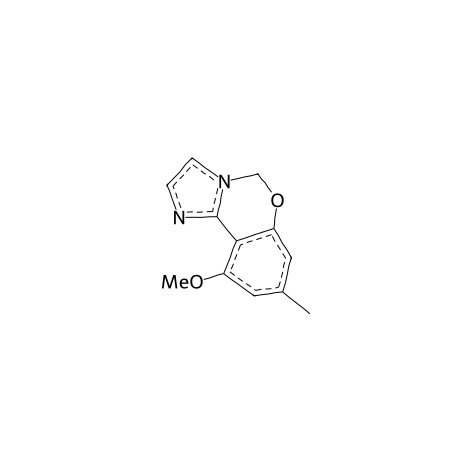 COc1cc(C)cc2c1-c1nccn1CO2